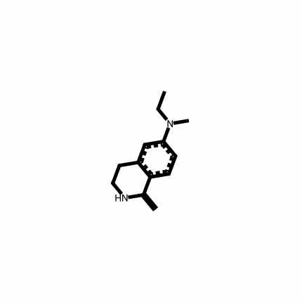 C=C1NCCc2cc(N(C)CC)ccc21